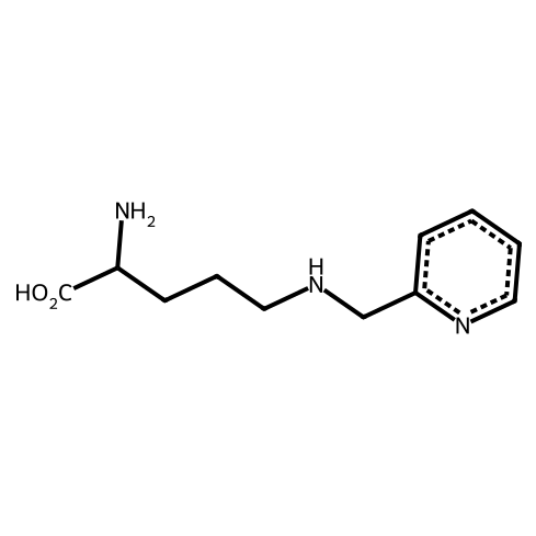 NC(CCCNCc1ccccn1)C(=O)O